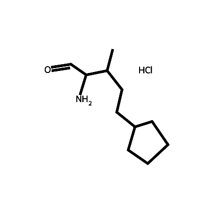 CC(CCC1CCCC1)C(N)C=O.Cl